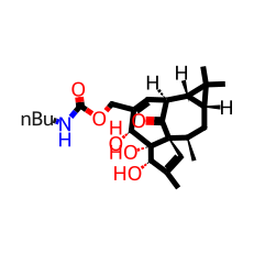 CCCCNC(=O)OCC1=C[C@@H]2C(=O)[C@]3(C=C(C)[C@H](O)[C@@]3(O)[C@@H]1O)[C@H](C)C[C@@H]1[C@H]2C1(C)C